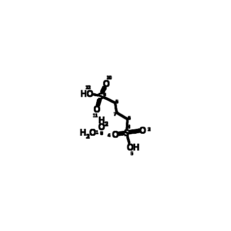 O.O.O=S(=O)(O)CCCS(=O)(=O)O